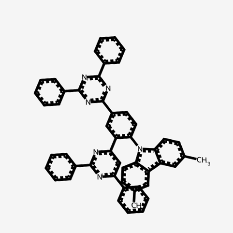 Cc1ccc2c(c1)c1cc(C)ccc1n2-c1ccc(-c2nc(-c3ccccc3)nc(-c3ccccc3)n2)cc1-c1cc(-c2ccccc2)nc(-c2ccccc2)n1